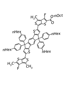 CCCCCCCCOC(=O)c1sc2c(-c3cc4c(s3)-c3cc5c(cc3C4(c3ccc(CCCCCC)cc3)c3ccc(CCCCCC)cc3)-c3sc(-c4sc(C)c6c(F)c(C)sc46)cc3C5(c3ccc(CCCCCC)cc3)c3ccc(CCCCCC)cc3)sc(C)c2c1F